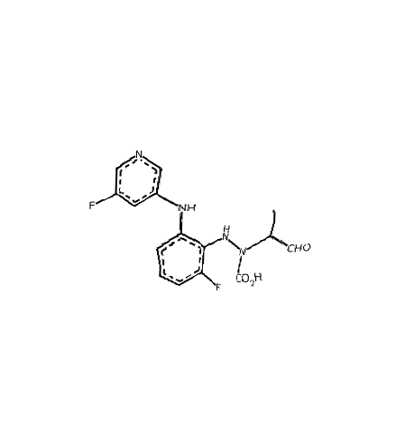 CC(C=O)N(Nc1c(F)cccc1Nc1cncc(F)c1)C(=O)O